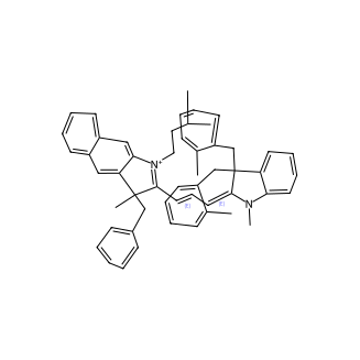 Cc1ccccc1CC1(Cc2ccccc2C)/C(=C\C=C\C2=[N+](CCC(C)C)c3cc4ccccc4cc3C2(C)Cc2ccccc2)N(C)c2ccccc21